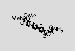 CNC(C(=O)OC)C(=O)N1CCN(c2ccc(-c3ccc(N4CC([C@H](C)C(N)=O)OC4=O)cc3F)cn2)CC1